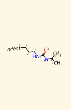 CCCCCCCCNC(=O)N=C(C)C